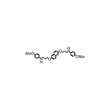 COc1ccc(NCCCOc2ccc3cc(OCCCNc4ccc(OC)cc4)ccc3c2)cc1